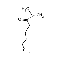 [CH2]CCCCC(=O)N(C)C